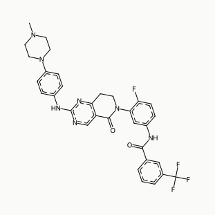 CN1CCN(c2ccc(Nc3ncc4c(n3)CCN(c3cc(NC(=O)c5cccc(C(F)(F)F)c5)ccc3F)C4=O)cc2)CC1